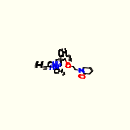 CNCC(C)(CNC)COCCN1CCCCC1=O